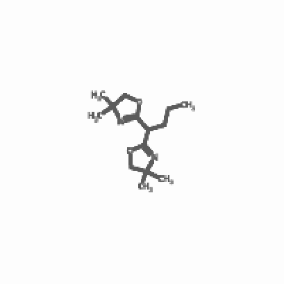 CCCC(C1=NC(C)(C)CO1)C1=NC(C)(C)CO1